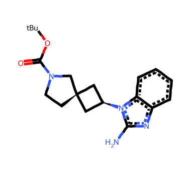 CC(C)(C)OC(=O)N1CC[C@]2(C1)C[C@H](n1c(N)nc3ccccc31)C2